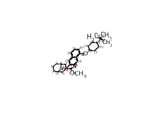 COC(=O)C1CC2CCCC(C1)N2Cc1ccc2c(O[C@H]3CC[C@H](C(C)(C)C)CC3)cccc2c1